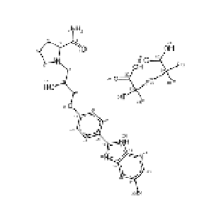 NC(=O)C1CCCN1CC(O)COc1ccc(-c2nc3cc(Br)cnc3[nH]2)cc1.O=C(O)C(F)(F)F.O=C(O)C(F)(F)F